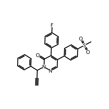 C#CC(c1ccccc1)n1ncc(-c2ccc(S(C)(=O)=O)cc2)c(-c2ccc(F)cc2)c1=O